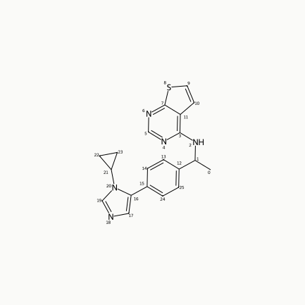 CC(Nc1ncnc2sccc12)c1ccc(-c2cncn2C2CC2)cc1